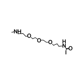 CNCCCOCCOCCOCCCNC(=O)I